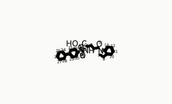 O=C(O)[C@H](CCC(=O)N1CCc2ccccc21)NS(=O)(=O)c1ccc(-c2ccccc2)cc1